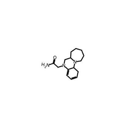 NC(=O)CN1CC2CCCCCN2C2CC=CC=C21